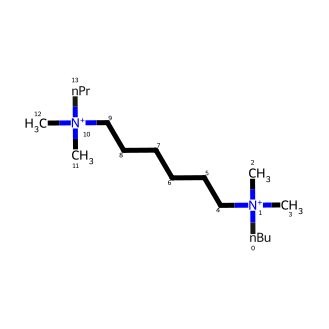 CCCC[N+](C)(C)CCCCCC[N+](C)(C)CCC